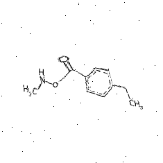 CCc1ccc(C(=O)ONC)cc1